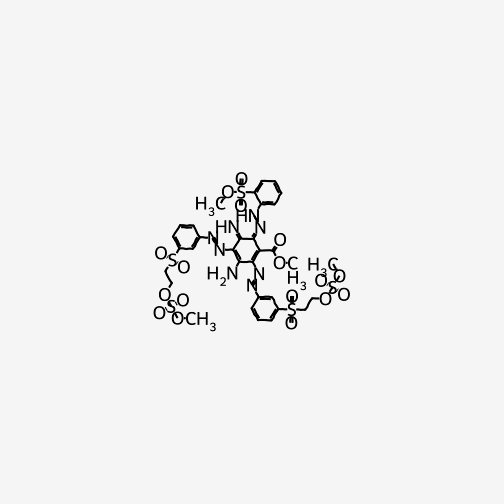 COC(=O)C1=C(/N=N/c2cccc(S(=O)(=O)CCOS(=O)(=O)OC)c2)C(N)=C(/N=N/c2cccc(S(=O)(=O)CCOS(=O)(=O)OC)c2)C(=N)/C1=N\Nc1ccccc1S(=O)(=O)OC